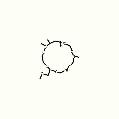 COCN1CCCCN(C)C(C)CNCCCN(C)CCNCC1